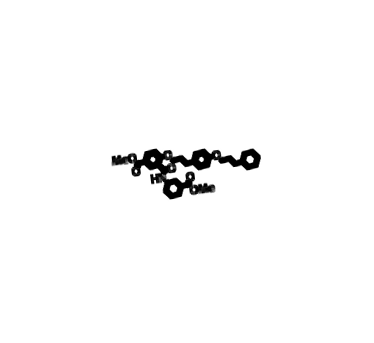 COC(=O)c1ccc(OCCCc2ccc(OCCCC3CCCCC3)cc2)c(C(=O)NC2CCCC(C(=O)OC)C2)c1